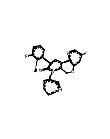 C=Bc1c(F)cccc1-c1cc2c(n(-c3cccnc3)c1=O)COc1cc(F)cnc1-2